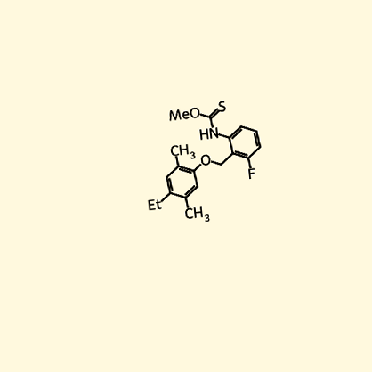 CCc1cc(C)c(OCc2c(F)cccc2NC(=S)OC)cc1C